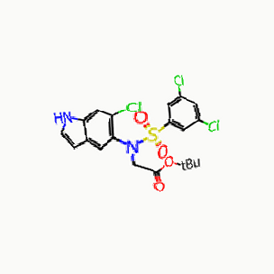 CC(C)(C)OC(=O)CN(c1cc2cc[nH]c2cc1Cl)S(=O)(=O)c1cc(Cl)cc(Cl)c1